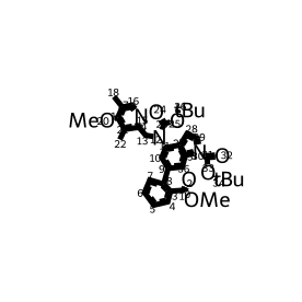 COC(=O)c1ccccc1-c1cc(N(Cc2ncc(C)c(OC)c2C)C(=O)OC(C)(C)C)c2ccn(C(=O)OC(C)(C)C)c2c1